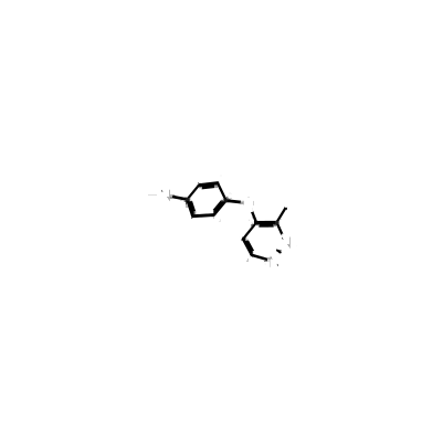 Cc1nnccc1Oc1ccc([NH])cc1